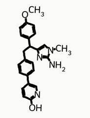 COc1ccc(C(Cc2ccc(-c3ccc(O)nc3)cc2)c2cn(C)c(N)n2)cc1